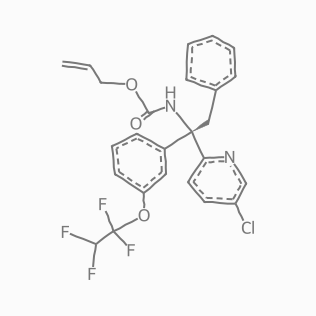 C=CCOC(=O)N[C@@](Cc1ccccc1)(c1cccc(OC(F)(F)C(F)F)c1)c1ccc(Cl)cn1